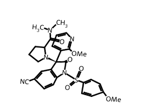 COc1ccc(S(=O)(=O)N2C(=O)[C@](c3cccnc3OC)(N3CCCC3C(=O)N(C)C)c3cc(C#N)ccc32)cc1